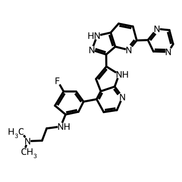 CN(C)CCNc1cc(F)cc(-c2ccnc3[nH]c(-c4n[nH]c5ccc(-c6cnccn6)nc45)cc23)c1